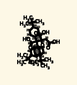 CC(C)(C)C1CCC(OC(CC(=O)O)(C(=O)O)C(C(=O)O)(C2CCC(C(C)(C)C)CC2)C2CCC(C(C)(C)C)CC2)CC1